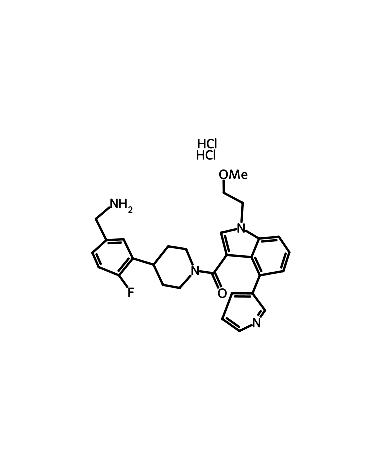 COCCn1cc(C(=O)N2CCC(c3cc(CN)ccc3F)CC2)c2c(-c3cccnc3)cccc21.Cl.Cl